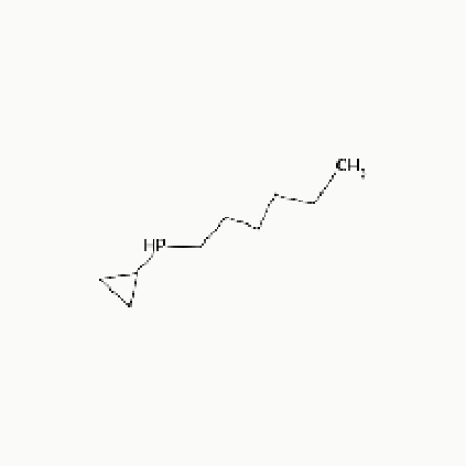 CCCCCCPC1CC1